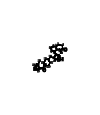 CN1C(=O)CCc2cccc(-c3n[nH]cc3CC3CCN(C(=O)c4cncn4C)CC3)c21